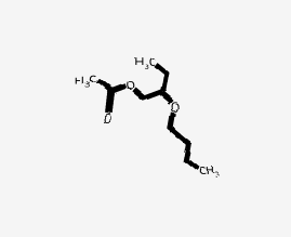 CCCCOC(CC)COC(C)=O